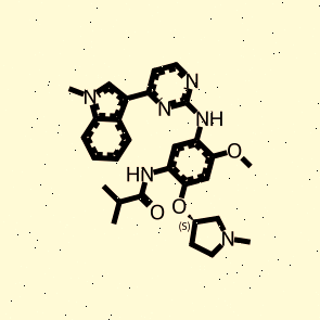 COc1cc(O[C@H]2CCN(C)C2)c(NC(=O)C(C)C)cc1Nc1nccc(-c2cn(C)c3ccccc23)n1